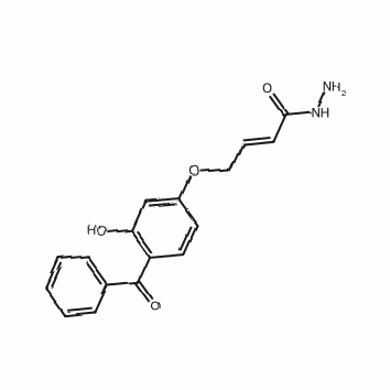 NNC(=O)/C=C/COc1ccc(C(=O)c2ccccc2)c(O)c1